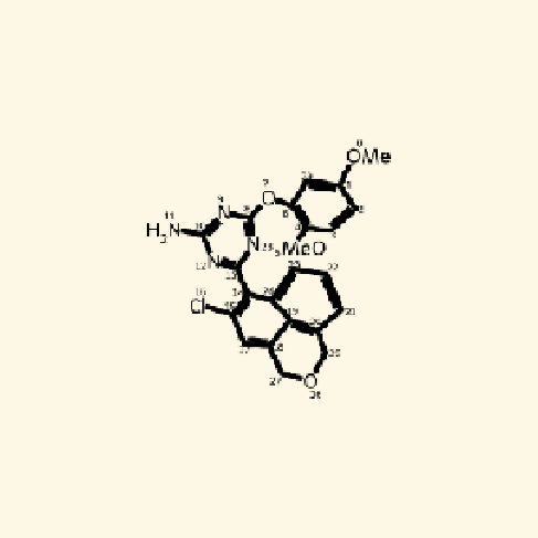 COc1ccc(OC)c(Oc2nc(N)nc(-c3c(Cl)cc4c5c(cccc35)COC4)n2)c1